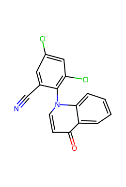 N#Cc1cc(Cl)cc(Cl)c1-n1ccc(=O)c2ccccc21